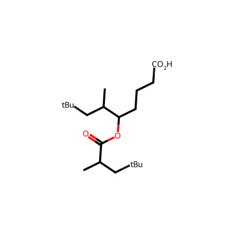 CC(CC(C)(C)C)C(=O)OC(CCCC(=O)O)C(C)CC(C)(C)C